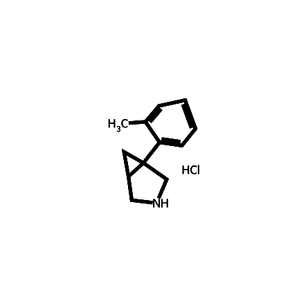 Cc1ccccc1C12CNCC1C2.Cl